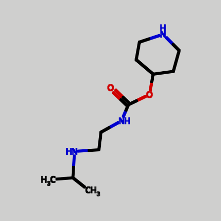 CC(C)NCCNC(=O)OC1CCNCC1